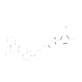 CC[C@H]1[C@@H](O)[C@@H]2[C@H](CC[C@]3(C)C([C@H](C)CCNC(=O)NS(=O)(=O)c4ccc(Br)c(OC(F)(F)F)c4)CC[C@@H]23)[C@@]2(C)CCCC[C@@H]12